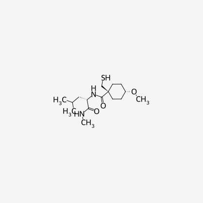 CNC(=O)[C@H](CC(C)C)NC(=O)[C@]1(CS)CC[C@H](OC)CC1